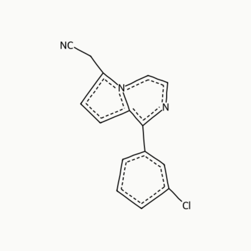 N#CCc1ccc2c(-c3cccc(Cl)c3)nccn12